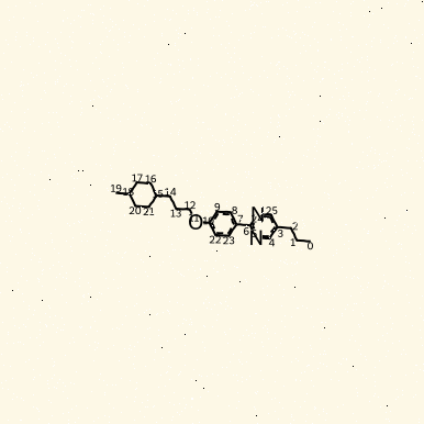 CCCc1cnc(-c2ccc(OCCCC3CCC(C)CC3)cc2)nc1